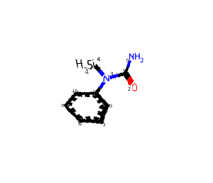 NC(=O)N([SiH3])c1ccccc1